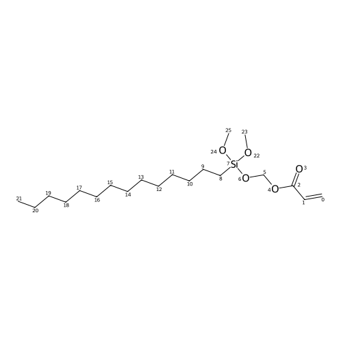 C=CC(=O)OCO[Si](CCCCCCCCCCCCCC)(OC)OC